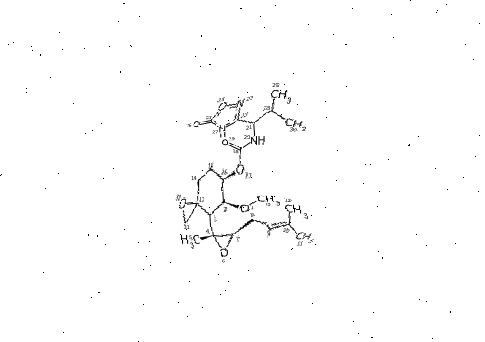 CO[C@H]1C([C@@]2(C)O[C@@H]2CC=C(C)C)[C@]2(CC[C@H]1OC(=O)NC(c1noc(=O)[nH]1)C(C)C)CO2